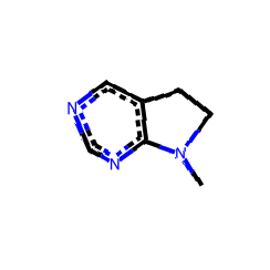 CN1CCc2cncnc21